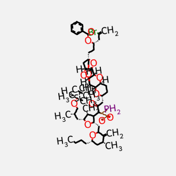 C=C(Br)C[C@H](CC[C@@]12C[C@H]3O[C@H]4[C@@H](O1)[C@H]1O[C@@H](CC(=O)C(C5[C@H](CC6O[C@@H](CCCC)C[C@@H](C)C6=C)O[C@H](C[C@H](C)CO[Si](C)(C)C(C)(C)C)[C@@H]5C)S(=O)(=O)P)CC[C@@H]1O[C@H]4[C@H]3O2)OC(=O)c1ccccc1